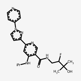 CC(C)Nc1cc(-c2ccn(-c3ccncc3)n2)ncc1C(=O)NCC(F)C(C)(C)O